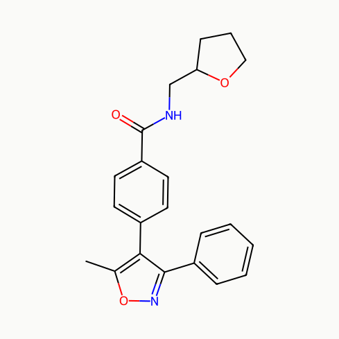 Cc1onc(-c2ccccc2)c1-c1ccc(C(=O)NCC2CCCO2)cc1